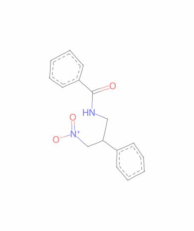 O=C(NCC(C[N+](=O)[O-])c1ccccc1)c1ccccc1